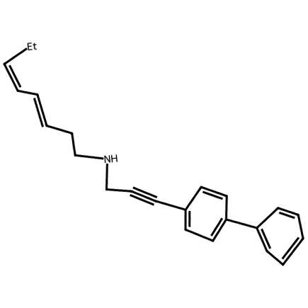 CC/C=C\C=CCCNCC#Cc1ccc(-c2ccccc2)cc1